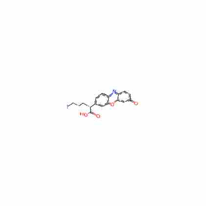 O=C(O)C(CCCI)c1ccc2nc3ccc(=O)cc-3oc2c1